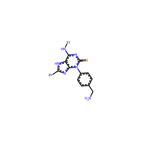 CCNc1nc(=S)n(-c2ccc(CN)cc2)c2nc(C(C)C)[nH]c12